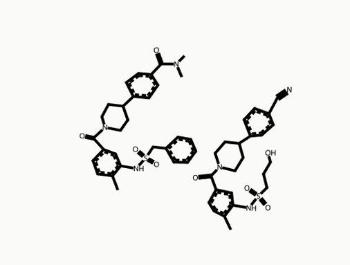 Cc1ccc(C(=O)N2CCC(c3ccc(C#N)cc3)CC2)cc1NS(=O)(=O)CCCO.Cc1ccc(C(=O)N2CCC(c3ccc(C(=O)N(C)C)cc3)CC2)cc1NS(=O)(=O)Cc1ccccc1